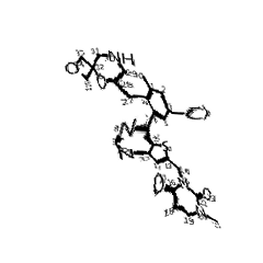 Cc1cc(Cl)cc(-c2ncnc3cc(CN4C(=O)CCN(C)C4=O)sc23)c1CC1CNCC2(COC2)O1